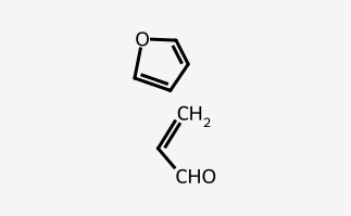 C=CC=O.c1ccoc1